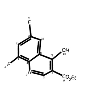 CCOC(=O)c1cnc2c(F)cc(F)cc2c1O